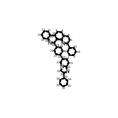 c1ccc(-c2ccc3ccc4c5ccccc5nc(-c5ccc(-c6ccc7nc(-c8ccccc8)cn7c6)cc5)c4c3n2)cc1